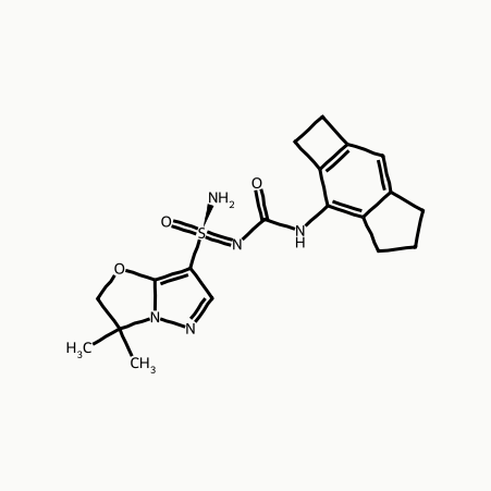 CC1(C)COc2c([S@](N)(=O)=NC(=O)Nc3c4c(cc5c3CC5)CCC4)cnn21